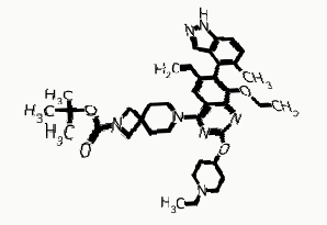 C=Cc1cc2c(N3CCC4(CC3)CN(C(=O)OC(C)(C)C)C4)nc(OC3CCN(CC)CC3)nc2c(OCC)c1-c1c(C)ccc2[nH]ncc12